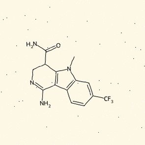 Cn1c2c(c3ccc(C(F)(F)F)cc31)C(N)=NCC2C(N)=O